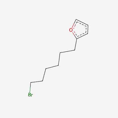 BrCCCCCCc1ccco1